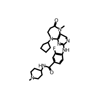 CN1CCC(NC(=O)c2ccc(Nc3ncc4c(n3)N(C3CCCC3)CCC(=O)N4C)c(F)c2)CC1